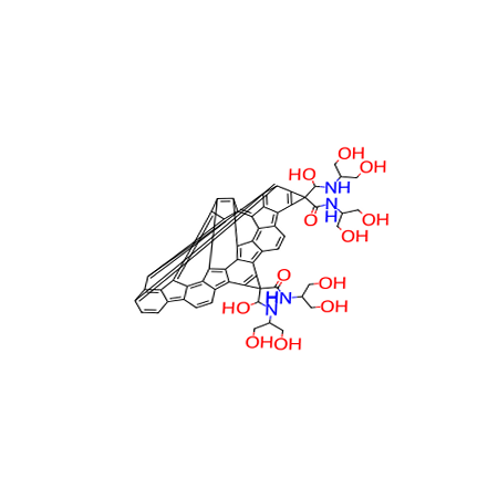 O=C(NC(CO)CO)C1(C(O)NC(CO)CO)c2c1c1c3ccc4c5c6c(c7c8ccc9c%10ccc%11c2c2c1c1c3c4c3c5c7c4c8c9c5c%10c%11c2c2c5c4c3c12)C6(C(=O)NC(CO)CO)C(O)NC(CO)CO